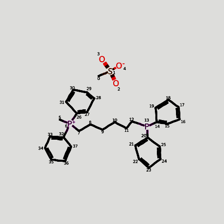 CS(=O)(=O)[O-].C[P+](CCCCCCP(c1ccccc1)c1ccccc1)(c1ccccc1)c1ccccc1